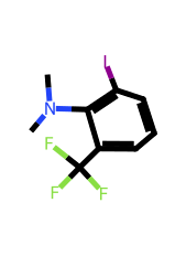 CN(C)c1c(I)cccc1C(F)(F)F